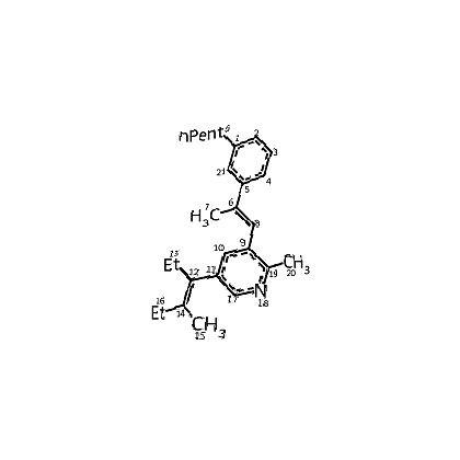 CCCCCc1cccc(/C(C)=C/c2cc(/C(CC)=C(\C)CC)cnc2C)c1